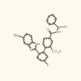 CCC[C@@H](NC(=O)c1ccc(-c2cc(F)ccc2-c2nc3cc(C(C)(C)C)ccc3[nH]2)c(C(=O)O)c1)c1ccccc1